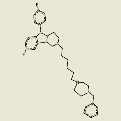 Fc1ccc(N2c3ccc(F)cc3C3CN(CCCCCCN4CCN(Cc5ccccc5)CC4)CCC32)cc1